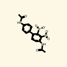 CC(=O)Nc1ccc(-c2ccc(NC(C)=O)c([N+](=O)[O-])c2[N+](=O)[O-])cc1